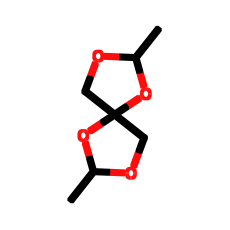 CC1OCC2(COC(C)O2)O1